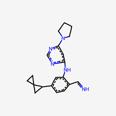 N=Cc1ccc(C2CC23CC3)cc1Nc1cc(N2CCCC2)ncn1